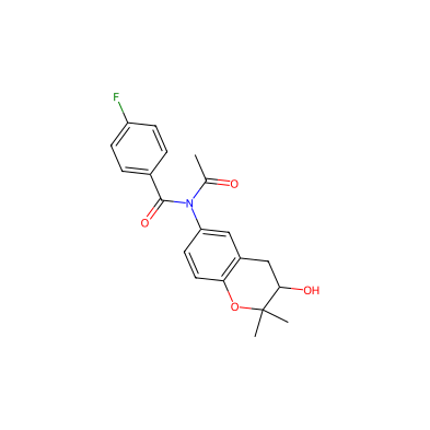 CC(=O)N(C(=O)c1ccc(F)cc1)c1ccc2c(c1)CC(O)C(C)(C)O2